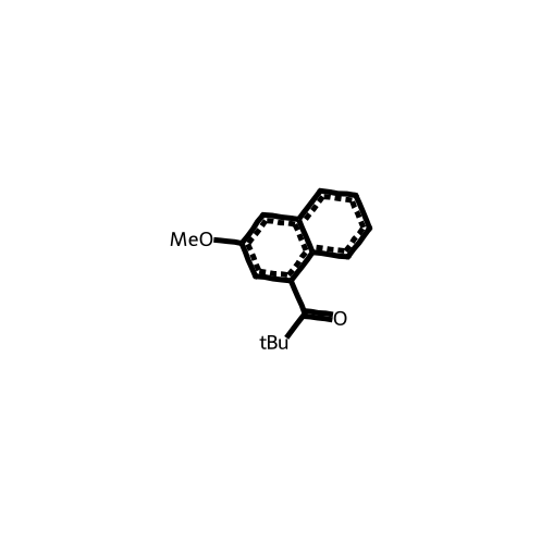 COc1cc(C(=O)C(C)(C)C)c2ccccc2c1